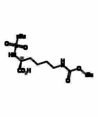 CCCCS(=O)(=O)N[C@@H](CCCCNC(=O)OC(C)(C)C)C(=O)O